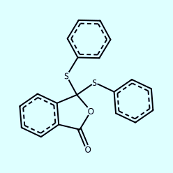 O=C1OC(Sc2ccccc2)(Sc2ccccc2)c2ccccc21